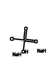 O=S(=O)(O)Cl.[NaH].[NaH]